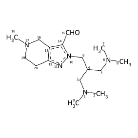 CN(C)CC(CN(C)C)Cn1nc2c(c1C=O)CN(C)CC2